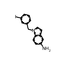 Nc1ccc2c(ccn2Cc2cccc(I)c2)c1